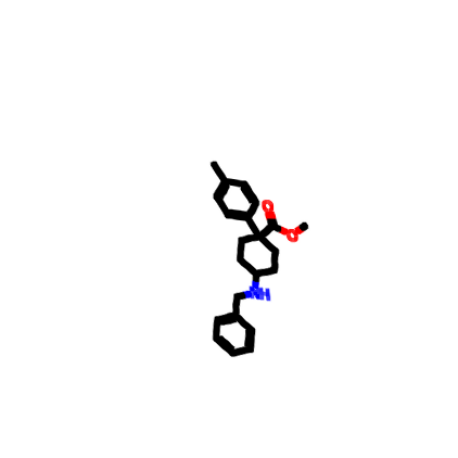 COC(=O)C1(c2ccc(C)cc2)CCC(NCc2ccccc2)CC1